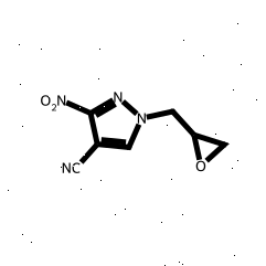 N#Cc1cn(CC2CO2)nc1[N+](=O)[O-]